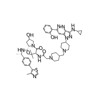 Cc1ncsc1-c1ccc([C@H](C)NC(=O)[C@@H]2C[C@@H](O)CN2C(=O)[C@@H](NC(=O)CN2CCC(CN3CCC(n4nc(NC5CC5)c5nnc(-c6ccccc6O)cc54)CC3)CC2)C(C)(C)C)cc1